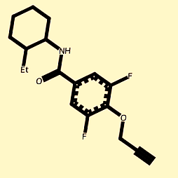 C#CCOc1c(F)cc(C(=O)NC2CCCCC2CC)cc1F